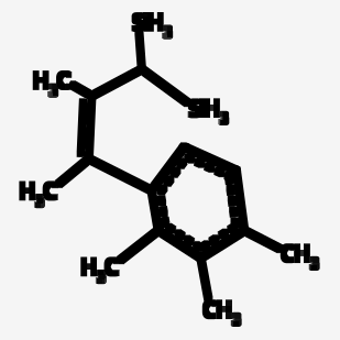 CC(=C(C)C([SiH3])[SiH3])c1ccc(C)c(C)c1C